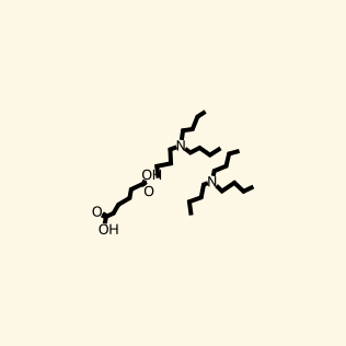 CCCCN(CCCC)CCCC.CCCCN(CCCC)CCCC.O=C(O)CCCCC(=O)O